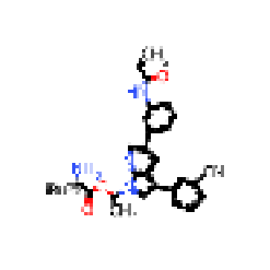 C=CC(=O)Nc1cccc(-c2cnc3c(c2)c(-c2cccc(C#N)c2)cn3C(C)OC(=O)[C@@H](N)[C@@H](C)CC)c1